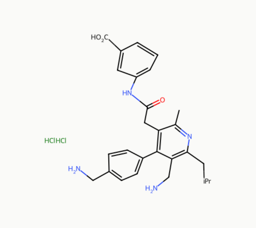 Cc1nc(CC(C)C)c(CN)c(-c2ccc(CN)cc2)c1CC(=O)Nc1cccc(C(=O)O)c1.Cl.Cl